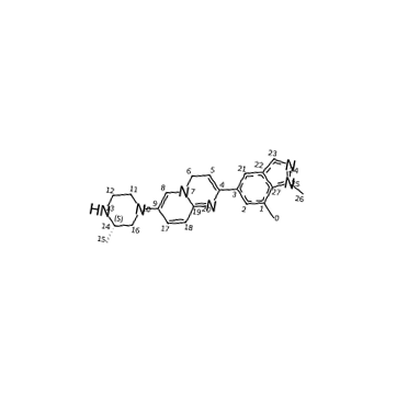 Cc1cc(C2=CCN3C=C(N4CCN[C@@H](C)C4)C=CC3=N2)cc2cnn(C)c12